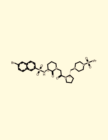 CCCS(=O)(=O)N1CCN(C[C@@H]2CCCN2C(=O)CN2CCC[C@H](NS(=O)(=O)c3ccc4cc(Br)ccc4c3)C2=O)CC1